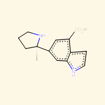 C[C@]1(c2cc(C(=O)O)c3cc[nH]c3c2)CCCN1